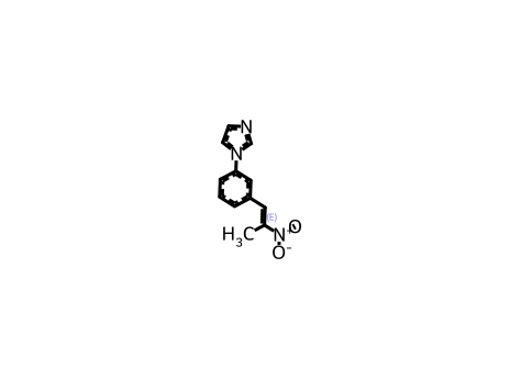 C/C(=C\c1cccc(-n2ccnc2)c1)[N+](=O)[O-]